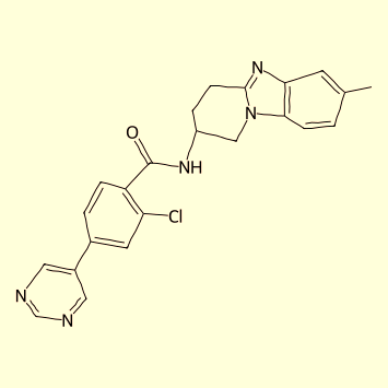 Cc1ccc2c(c1)nc1n2CC(NC(=O)c2ccc(-c3cncnc3)cc2Cl)CC1